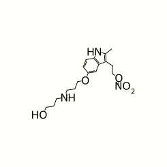 Cc1[nH]c2ccc(OCCCNCCCO)cc2c1CCO[N+](=O)[O-]